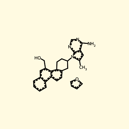 Cc1cc2c(N)ncnc2n1C1CCc2c(ccc3c2c(CO)cc2ccccc23)C1.c1ccoc1